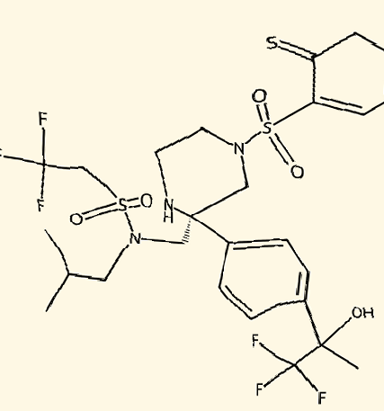 CC(C)CN(C[C@@]1(c2ccc(C(C)(O)C(F)(F)F)cc2)CN(S(=O)(=O)C2=CC=CCC2=S)CCN1)S(=O)(=O)CC(F)(F)F